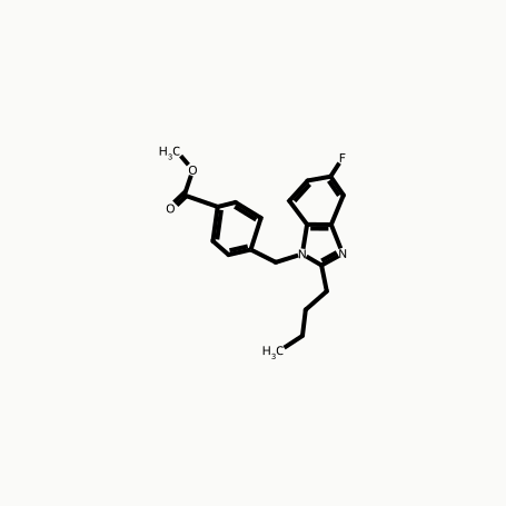 CCCCc1nc2cc(F)ccc2n1Cc1ccc(C(=O)OC)cc1